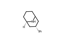 CC(C)[C@H]1CC2CCC[C@H](C1)N2